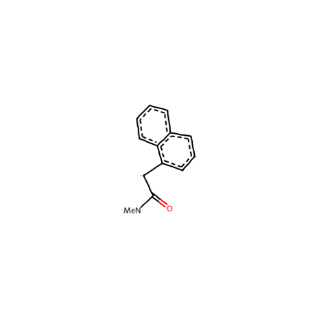 CNC(=O)[CH]c1cccc2ccccc12